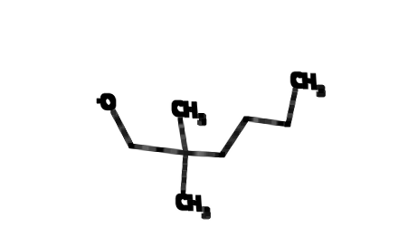 CCCCC(C)(C)C[O]